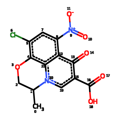 CC1COc2c(Cl)cc([N+](=O)[O-])c3c(=O)c(C(=O)O)cn1c23